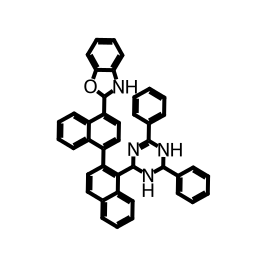 c1ccc(C2=NC(c3c(-c4ccc(C5Nc6ccccc6O5)c5ccccc45)ccc4ccccc34)NC(c3ccccc3)N2)cc1